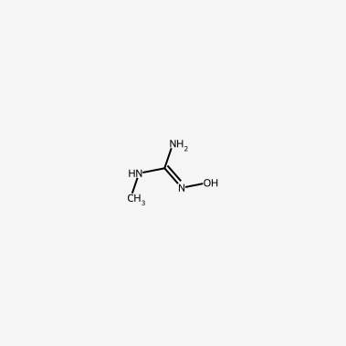 CNC(N)=NO